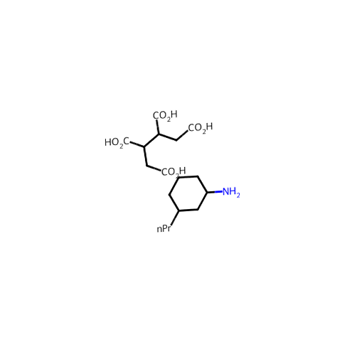 CCCC1CCCC(N)C1.O=C(O)CC(C(=O)O)C(CC(=O)O)C(=O)O